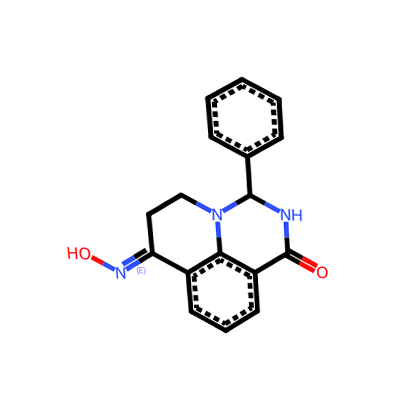 O=C1NC(c2ccccc2)N2CC/C(=N\O)c3cccc1c32